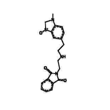 CN1C[S+]([O-])c2cc(CCNCCN3C(=O)c4ccccc4C3=O)ccc21